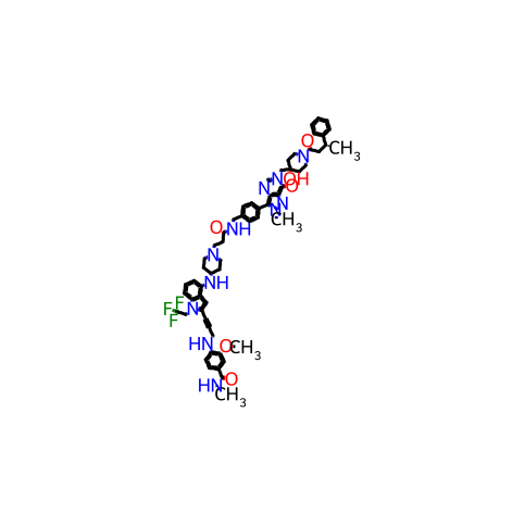 CNC(=O)c1ccc(NCC#Cc2cc3c(NC4CCN(CCC(=O)NCc5ccc(-c6c7ncn(CC8(O)CCN(C(=O)C[C@@H](C)c9ccccc9)CC8)c(=O)c7nn6C)cc5)CC4)cccc3n2CC(F)(F)F)c(OC)c1